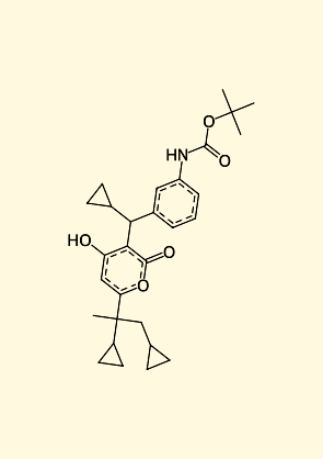 CC(C)(C)OC(=O)Nc1cccc(C(c2c(O)cc(C(C)(CC3CC3)C3CC3)oc2=O)C2CC2)c1